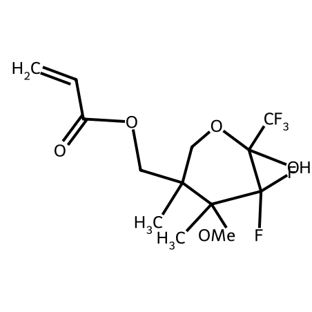 C=CC(=O)OCC1(C)COC(O)(C(F)(F)F)C(F)(F)C1(C)OC